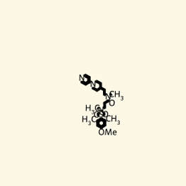 COc1cc(C)c(S(=O)(=O)N(C)CCC(=O)N(C)CCC2CCN(c3ccncc3)CC2)c(C)c1